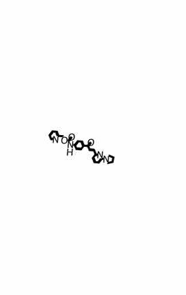 O=C(Nc1ccc(C(=O)C=Cc2cccc(N3CCCC3)n2)cc1)OCc1ccccn1